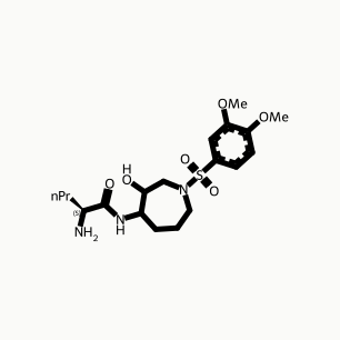 CCC[C@H](N)C(=O)NC1CCCN(S(=O)(=O)c2ccc(OC)c(OC)c2)CC1O